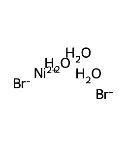 O.O.O.[Br-].[Br-].[Ni+2]